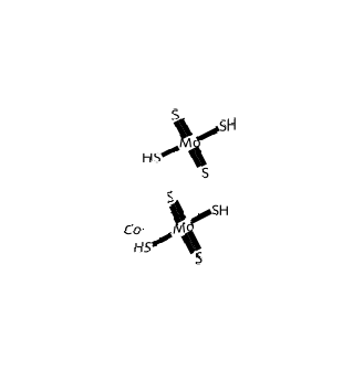 [Co].[S]=[Mo](=[S])([SH])[SH].[S]=[Mo](=[S])([SH])[SH]